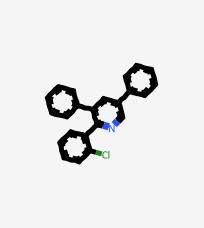 Clc1ccccc1-c1ncc(-c2ccccc2)[c]c1-c1ccccc1